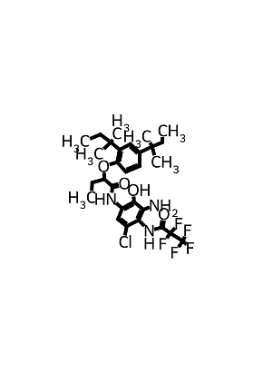 CCC(Oc1ccc(C(C)(C)CC)cc1C(C)(C)CC)C(=O)Nc1cc(Cl)c(NC(=O)C(F)(F)C(F)(F)F)c(N)c1O